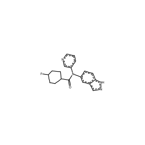 O=C(C1CCC(F)CC1)N(c1cccnc1)c1ccc2[nH]ncc2c1